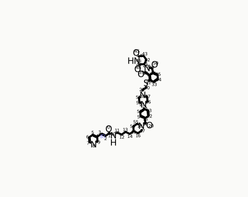 O=C(/C=C/c1cccnc1)NCCCCC1CCN(C(=O)c2ccc(N3CCN(CCSc4cccc5c4C(=O)N(C4CCC(=O)NC4=O)C5=O)CC3)cc2)CC1